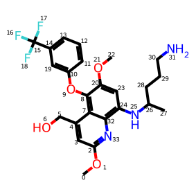 COc1cc(CO)c2c(Oc3cccc(C(F)(F)F)c3)c(OC)cc(NC(C)CCCN)c2n1